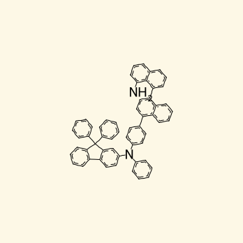 Nc1cccc2cccc(-c3ccc(-c4ccc(N(c5ccccc5)c5ccc6c(c5)C(c5ccccc5)(c5ccccc5)c5ccccc5-6)cc4)c4ccccc34)c12